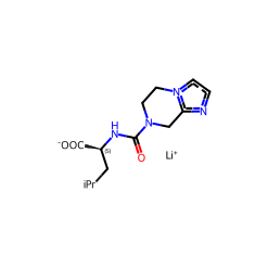 CC(C)C[C@H](NC(=O)N1CCn2ccnc2C1)C(=O)[O-].[Li+]